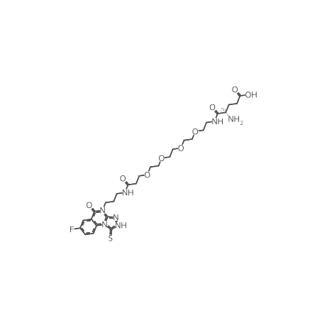 N[C@@H](CCC(=O)O)C(=O)NCCOCCOCCOCCOCCC(=O)NCCCn1c(=O)c2cc(F)ccc2n2c(=S)[nH]nc12